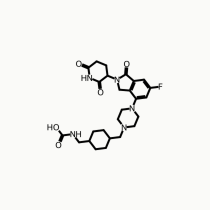 O=C(O)NCC1CCC(CN2CCN(c3cc(F)cc4c3CN(C3CCC(=O)NC3=O)C4=O)CC2)CC1